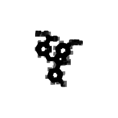 COC(=O)c1cccc(Cc2c(-c3cccc(Cl)c3)[nH]c3cc(OC)ccc23)n1